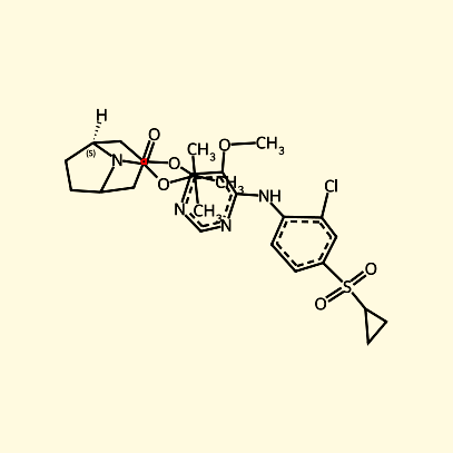 COc1c(Nc2ccc(S(=O)(=O)C3CC3)cc2Cl)ncnc1OC1CC2CC[C@@H](C1)N2C(=O)OC(C)(C)C